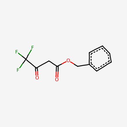 O=C(CC(=O)C(F)(F)F)OCc1ccccc1